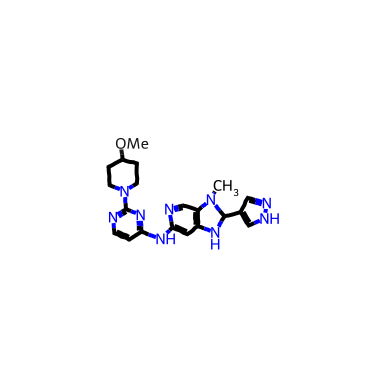 COC1CCN(c2nccc(Nc3cc4c(cn3)N(C)C(c3cn[nH]c3)N4)n2)CC1